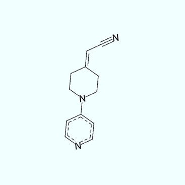 N#CC=C1CCN(c2ccncc2)CC1